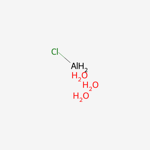 O.O.O.[AlH2][Cl]